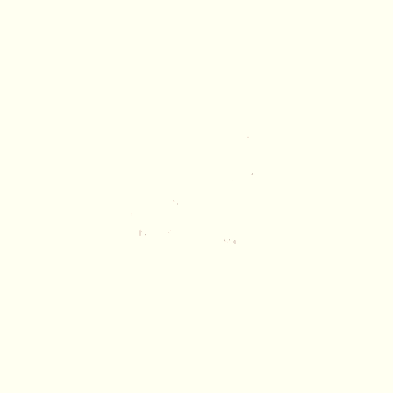 COC1C(O[PH](=O)O)C([C@@H](C)O)OC1n1ccc(=O)[nH]c1=O